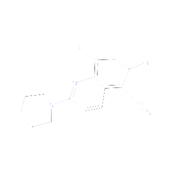 Cc1cc(Cl)c2nc(N3CCOCC3)ccc2c1C#N